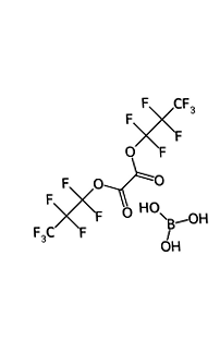 O=C(OC(F)(F)C(F)(F)C(F)(F)F)C(=O)OC(F)(F)C(F)(F)C(F)(F)F.OB(O)O